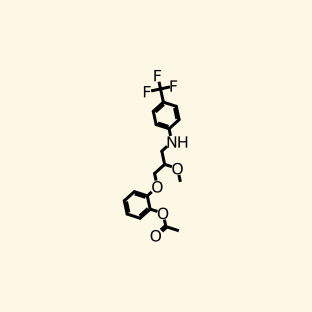 COC(CNc1ccc(C(F)(F)F)cc1)COc1ccccc1OC(C)=O